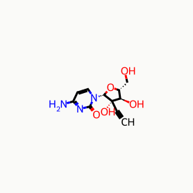 C#C[C@]1(O)[C@H](O)[C@@H](CO)O[C@H]1n1ccc(N)nc1=O